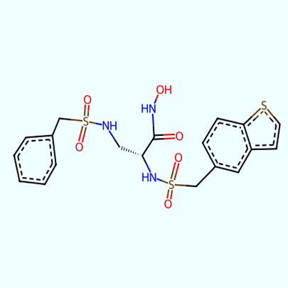 O=C(NO)[C@@H](CNS(=O)(=O)Cc1ccccc1)NS(=O)(=O)Cc1ccc2sccc2c1